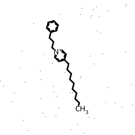 CCCCCCCCCCc1cc[n+](CCCc2ccccc2)cc1